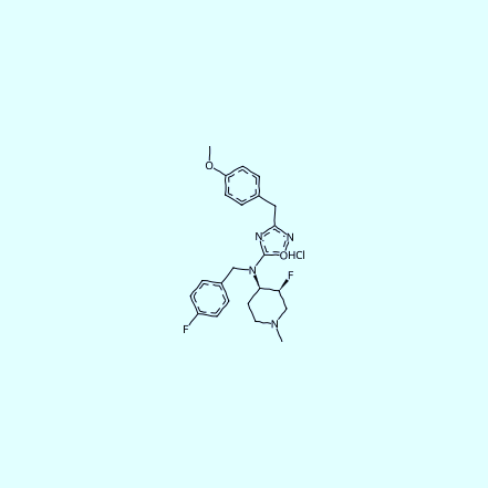 COc1ccc(Cc2noc(N(Cc3ccc(F)cc3)[C@@H]3CCN(C)C[C@@H]3F)n2)cc1.Cl